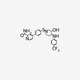 NC(=O)c1cc(-c2ccc(SN3CCC(Nc4ccc(C(F)(F)F)cc4)C(O)C3)cc2)ccn1